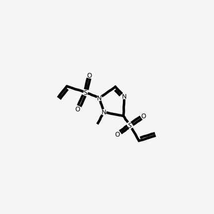 C=CS(=O)(=O)C1N=CN(S(=O)(=O)C=C)N1C